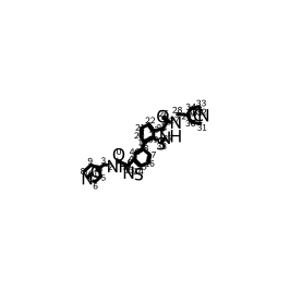 O=C(NCC12CCN(CC1)CC2)c1nsc2ccc(-c3cccc4c(C(=O)NCC56CCN(CC5)CC6)nsc34)cc12